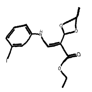 CCOC(=O)/C(=C/Nc1cccc(I)c1)C1OC(C)O1